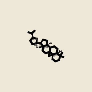 CC(C)[C@@H]1CC[C@](C)([C@H]2CC[C@@]3(C)C4CC[C@H]5C(C)(C)CCC[C@@]56CC46CC[C@]23C)O1